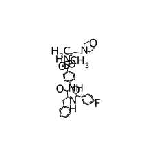 CC(C)(CCN1CCOCC1)NS(=O)(=O)c1ccc(NC(=O)C(Cc2ccccc2)NC(=O)c2ccc(F)cc2)cc1